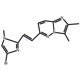 Cc1nc2ccc(/C=C/c3nc(Br)cn3C)nn2c1C